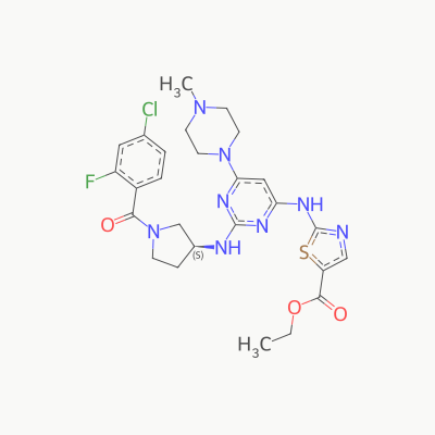 CCOC(=O)c1cnc(Nc2cc(N3CCN(C)CC3)nc(N[C@H]3CCN(C(=O)c4ccc(Cl)cc4F)C3)n2)s1